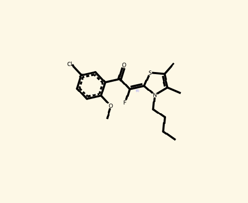 CCCCN1C(C)=C(C)S/C1=C(/F)C(=O)c1cc(Cl)ccc1OC